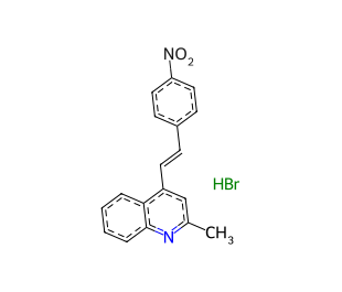 Br.Cc1cc(C=Cc2ccc([N+](=O)[O-])cc2)c2ccccc2n1